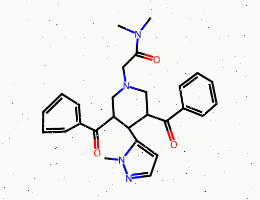 CN(C)C(=O)CN1CC(C(=O)c2ccccc2)C(c2ccnn2C)C(C(=O)c2ccccc2)C1